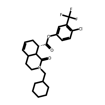 O=C(Oc1ccc(Cl)c(C(F)(F)F)c1)[C@H]1CC=CC2CCN(CC3CCCCC3)C(=O)C21